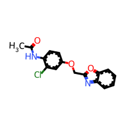 CC(=O)Nc1ccc(OCc2nc3ccccc3o2)cc1Cl